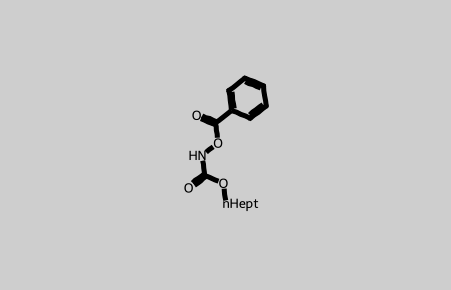 CCCCCCCOC(=O)NOC(=O)c1ccccc1